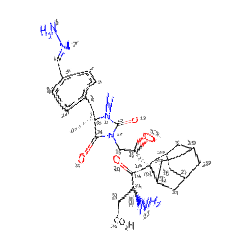 C[C@]1(c2ccc(C=NN)cc2)NC(=O)N(CC(=O)[C@]2(C(=O)[C@@H](N)CC(=O)O)[C]3CC4CC(C3)CC2C4)C1=O